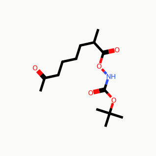 CC(=O)CCCCC(C)C(=O)ONC(=O)OC(C)(C)C